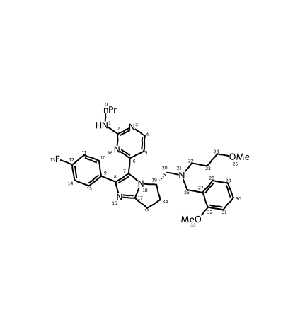 CCCNc1nccc(-c2c(-c3ccc(F)cc3)nc3n2[C@H](CN(CCCOC)Cc2ccccc2OC)CC3)n1